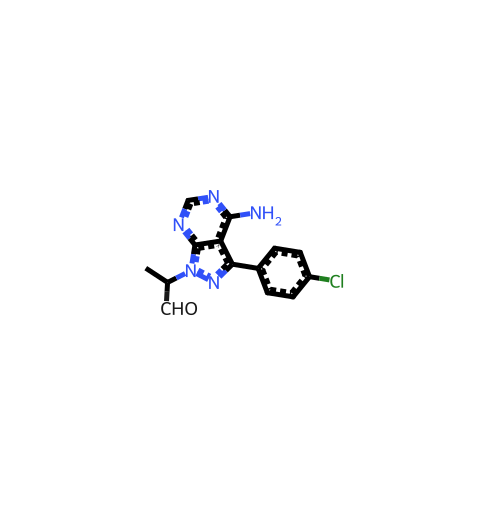 CC(C=O)n1nc(-c2ccc(Cl)cc2)c2c(N)ncnc21